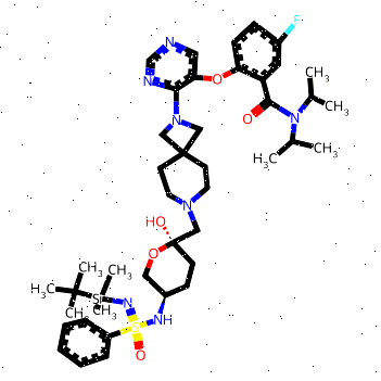 CC(C)N(C(=O)c1cc(F)ccc1Oc1cncnc1N1CC2(CCN(C[C@@]3(O)CC[C@@H](NS(=O)(=N[Si](C)(C)C(C)(C)C)c4ccccc4)CO3)CC2)C1)C(C)C